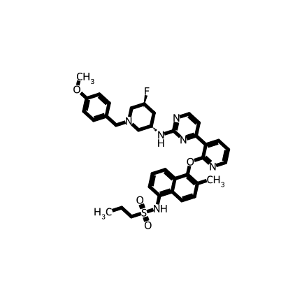 CCCS(=O)(=O)Nc1cccc2c(Oc3ncccc3-c3ccnc(N[C@H]4C[C@H](F)CN(Cc5ccc(OC)cc5)C4)n3)c(C)ccc12